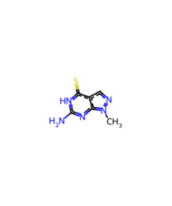 Cn1ncc2c(=S)[nH]c(N)nc21